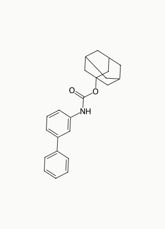 O=C(Nc1cccc(-c2ccccc2)c1)OC12CC3CC(CC(C3)C1)C2